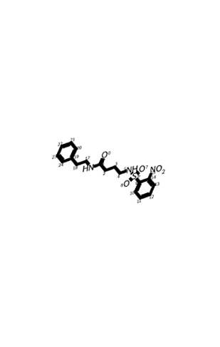 O=C(CCCNS(=O)(=O)c1ccccc1[N+](=O)[O-])NCCc1ccccc1